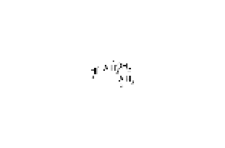 O.[AlH3].[AlH3].[Hf]